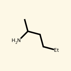 CCCCC(C)N